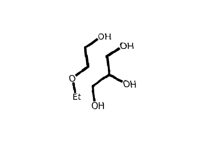 CCOCCO.OCC(O)CO